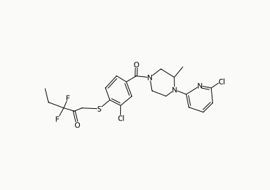 CCC(F)(F)C(=O)CSc1ccc(C(=O)N2CCN(c3cccc(Cl)n3)C(C)C2)cc1Cl